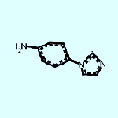 Nc1ccc(-n2[c]ncc2)cc1